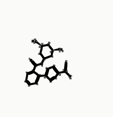 C[C@@H]1CC(OC(=O)c2ccccc2-c2ccc([N+](=O)[O-])cc2)C[C@H](C)O1